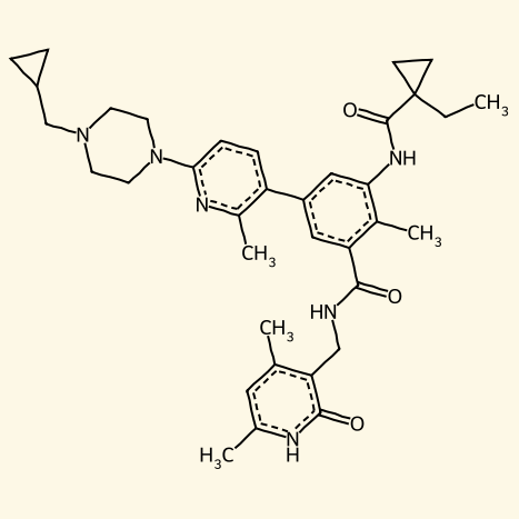 CCC1(C(=O)Nc2cc(-c3ccc(N4CCN(CC5CC5)CC4)nc3C)cc(C(=O)NCc3c(C)cc(C)[nH]c3=O)c2C)CC1